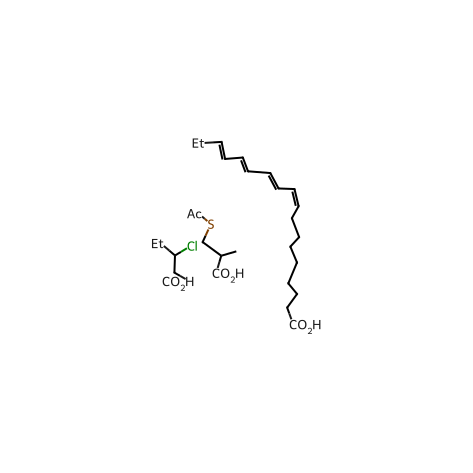 CC(=O)SCC(C)C(=O)O.CCC(Cl)CC(=O)O.CCC=CC=CC=C/C=C\CCCCCCCC(=O)O